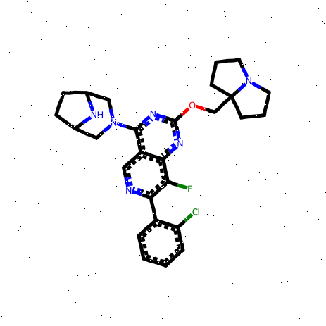 Fc1c(-c2ccccc2Cl)ncc2c(N3CC4CCC(C3)N4)nc(OCC34CCCN3CCC4)nc12